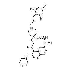 COc1ccc2ncc(CN3CCOCC3)c([C@H](F)CCC3(CC(=O)O)CCN(CCCc4c(F)cc(F)cc4F)CC3)c2c1